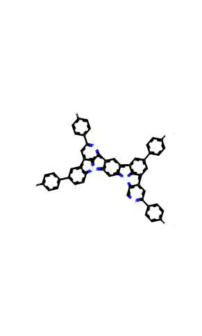 CC(C)(C)c1ccc(-c2ccc3c(c2)c2cc(-c4ccc(C(C)(C)C)cc4)nc4c5cc6c7cc(-c8ccc(C(C)(C)C)cc8)cc8c9cc(-c%10ccc(C(C)(C)C)cc%10)ncc9n(c6cc5n3c24)c87)cc1